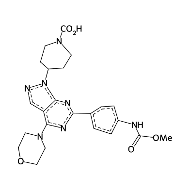 COC(=O)Nc1ccc(-c2nc(N3CCOCC3)c3cnn(C4CCN(C(=O)O)CC4)c3n2)cc1